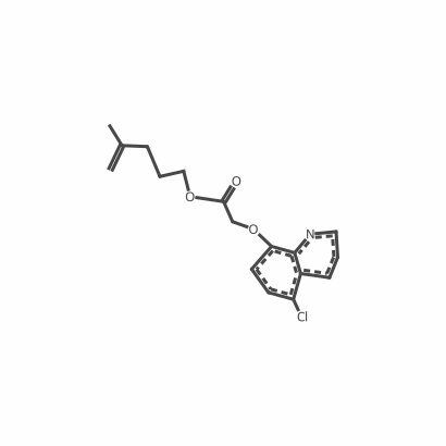 C=C(C)CCCOC(=O)COc1ccc(Cl)c2cccnc12